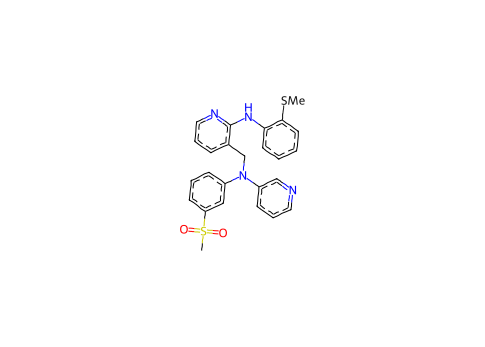 CSc1ccccc1Nc1ncccc1CN(c1cccnc1)c1cccc(S(C)(=O)=O)c1